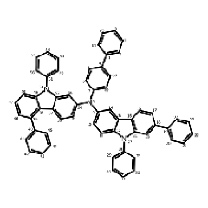 c1ccc(-c2ccc(N(c3ccc4c(c3)c3ccc(-c5ccccc5)cc3n4-c3ccccc3)c3ccc4c5c(-c6ccccc6)cccc5n(-c5ccccc5)c4c3)cc2)cc1